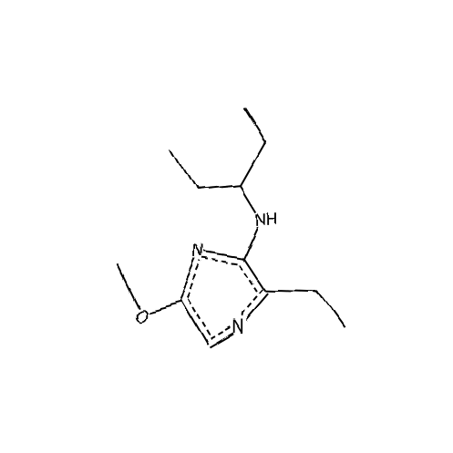 CCc1ncc(OC)nc1NC(CC)CC